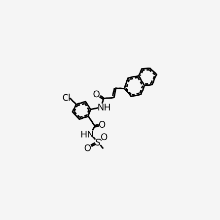 CS(=O)(=O)NC(=O)c1ccc(Cl)cc1NC(=O)/C=C/c1ccc2ccccc2c1